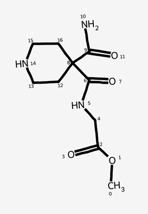 COC(=O)CNC(=O)C1(C(N)=O)CCNCC1